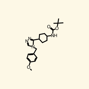 COc1ccc(Cn2cnnc2C2CCC(NC(=O)OC(C)(C)C)CC2)cc1